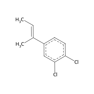 C/C=C(\C)c1ccc(Cl)c(Cl)c1